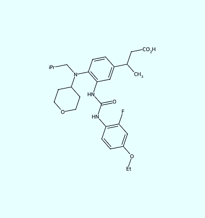 CCOc1ccc(NC(=O)Nc2cc(C(C)CC(=O)O)ccc2N(CC(C)C)C2CCOCC2)c(F)c1